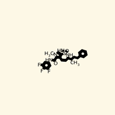 C[C@@H](CCc1ccccc1)C1C=Cc2c(cn(C)c2C(=O)Nc2cc(F)c(F)c(F)c2)S(=N)(=O)N1